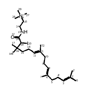 CC(C)=CCCC(C)=CCCC(C)=CCCC(C)(I)C(I)C(=O)NCC[N+](C)(C)C